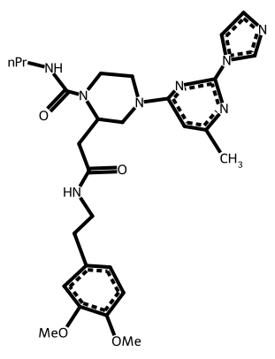 CCCNC(=O)N1CCN(c2cc(C)nc(-n3ccnc3)n2)CC1CC(=O)NCCc1ccc(OC)c(OC)c1